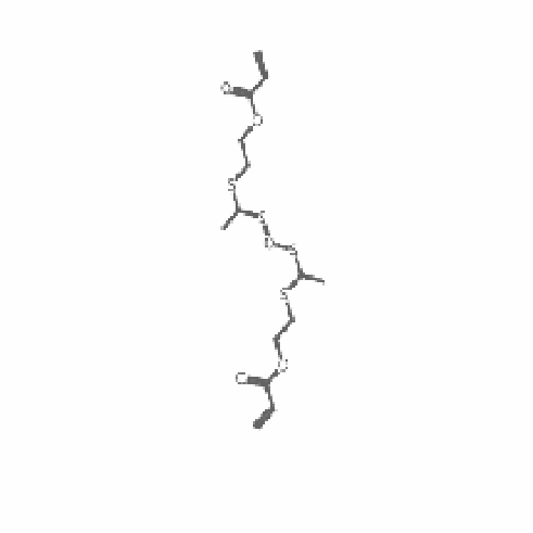 C=CC(=O)OCCSC(C)SOSC(C)SCCOC(=O)C=C